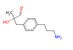 CC(O)(C=O)Cc1ccc(CCCN)cc1